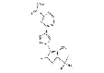 COC(=O)c1cccc(-c2cn(-c3c(C(F)(F)F)c(C(F)(F)C(F)(F)F)nn3C)nn2)c1